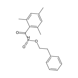 Cc1cc(C)c(C(=O)[PH](=O)OCCc2ccccc2)c(C)c1